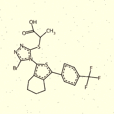 CC(Sc1nnc(Br)n1-c1sc(-c2ccc(C(F)(F)F)cc2)c2c1CCCC2)C(=O)O